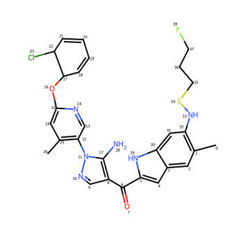 Cc1cc2cc(C(=O)c3cnn(-c4cnc(OC5C=CC=CC5Cl)cc4C)c3N)[nH]c2cc1NSCCCF